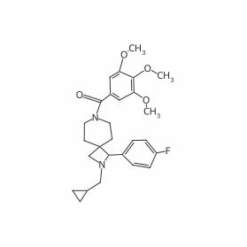 COc1cc(C(=O)N2CCC3(CC2)CN(CC2CC2)C3c2ccc(F)cc2)cc(OC)c1OC